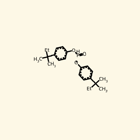 CCC(C)(C)c1ccc(O[PH](=O)Oc2ccc(C(C)(C)CC)cc2)cc1